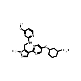 CCOc1ccnc(NCc2c(-c3ncc(OC4CCCC(C(=O)O)C4)cn3)cnn2C)n1